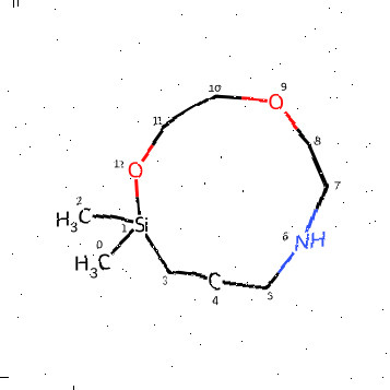 C[Si]1(C)CCCNCCOCCO1